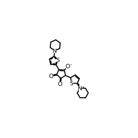 O=C1C(=O)C(C2C=CC(=[N+]3CCCCC3)S2)C([O-])=C1c1ccc(N2CCCCC2)s1